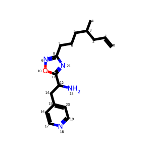 C=CCC(C)CCCc1noc(C(N)Cc2ccncc2)n1